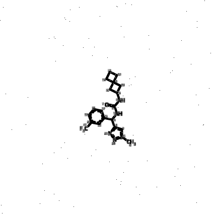 Cn1cc(C(NC(=O)NC2CC3(CCC3)C2)c2cccc(C(F)(F)F)c2)nn1